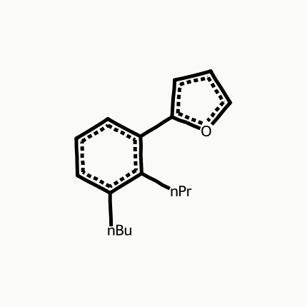 CCCCc1cccc(-c2ccco2)c1CCC